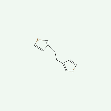 c1cc(CCc2ccsc2)cs1